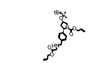 C=CCOC(=O)CNCc1ccc([C@H]2C[C@@H](O[Si](C)(C)C(C)(C)C)CN2C(=O)OCC=C)cc1